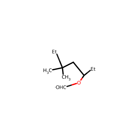 CCC(CC(C)(C)CC)O[C]=O